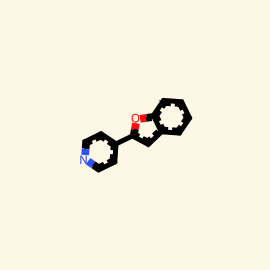 [c]1cccc2cc(-c3ccncc3)oc12